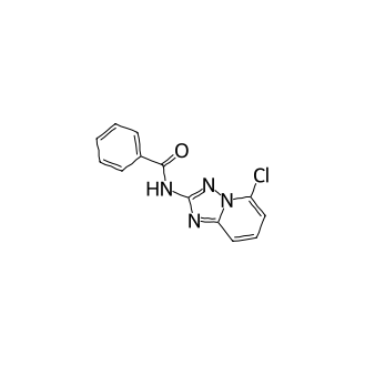 O=C(Nc1nc2cccc(Cl)n2n1)c1ccccc1